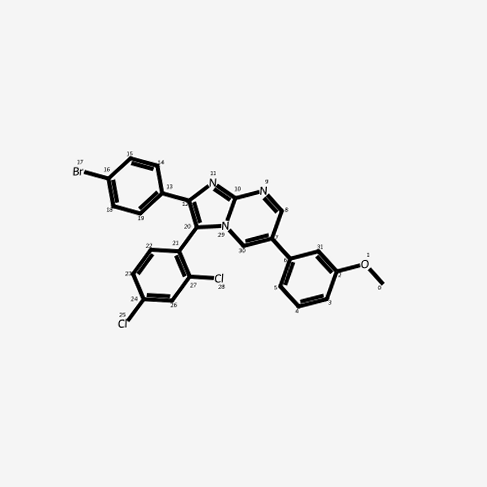 COc1cccc(-c2cnc3nc(-c4ccc(Br)cc4)c(-c4ccc(Cl)cc4Cl)n3c2)c1